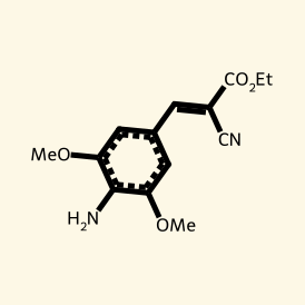 CCOC(=O)/C(C#N)=C/c1cc(OC)c(N)c(OC)c1